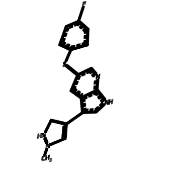 CN1C=C(c2c[nH]c3ncc(Sc4ccc(F)cc4)cc23)CN1